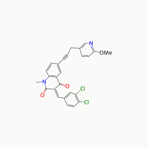 COc1ccc(CC#Cc2ccc3c(c2)C(=O)/C(=C\c2ccc(Cl)c(Cl)c2)C(=O)N3C)cn1